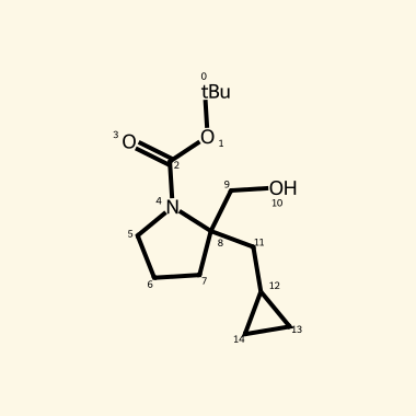 CC(C)(C)OC(=O)N1CCCC1(CO)CC1CC1